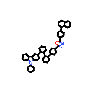 c1ccc(-n2c3ccccc3c3cc(-c4ccccc4-c4ccccc4-c4ccc(-c5nnc(-c6ccc(-c7cccc8ccccc78)cc6)o5)cc4)ccc32)cc1